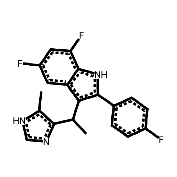 Cc1[nH]cnc1C(C)c1c(-c2ccc(F)cc2)[nH]c2c(F)cc(F)cc12